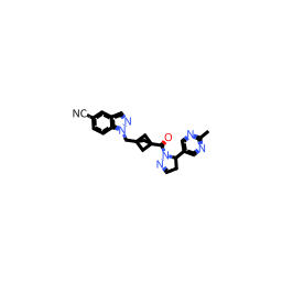 Cc1ncc(C2CC=NN2C(=O)C23CC(Cn4ncc5cc(C#N)ccc54)(C2)C3)cn1